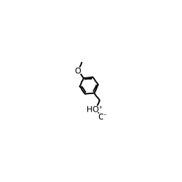 [CH2-][OH+]Cc1ccc(OC)cc1